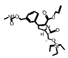 C=CCOC(=O)C1=C(c2cccc(COC(=O)NC)c2)C[C@@H]2[C@@H]([C@@H](C)O[Si](CC)(CC)CC)C(=O)N12